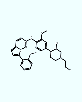 COc1cc(C2CCN(CCF)CC2O)ccc1Nc1ncc2ccc(-c3ccccc3OC)n2n1